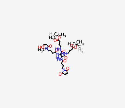 CN(CCCC(=O)N[C@H](C(=O)NCCCC(=O)OC(C)(C)C)[C@H](NC(=O)CCCN1C(=O)C=CC1=O)C(=O)NCCCC(=O)OC(C)(C)C)C(=O)/C=C\O